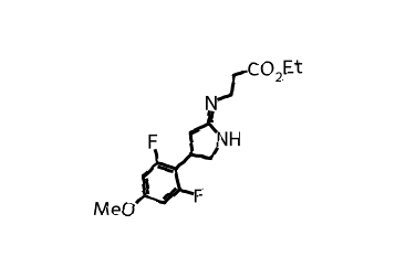 CCOC(=O)CC/N=C1/CC(c2c(F)cc(OC)cc2F)CN1